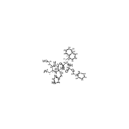 CC(C)CC(NC(=O)[C@H](Cc1c[nH]cn1)NC(=O)[C@H](Cc1cccc2ccccc12)NC(=O)OCc1ccccc1)C(O)CCO